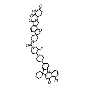 O=C1CC[C@H](N2Cc3c(ccc4c3OCC43CCN(C(=O)N4CCC(N5CCC(c6ccc7c(c6)C6(CCCCC6)c6nc(=O)c8c(Cl)cccc8n6-7)CC5)C(F)C4)CC3)C2=O)C(=O)N1